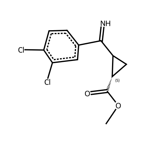 COC(=O)[C@H]1CC1C(=N)c1ccc(Cl)c(Cl)c1